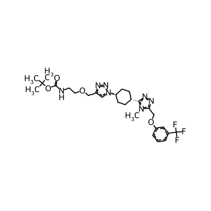 Cn1c(COc2cccc(C(F)(F)F)c2)nnc1[C@H]1CC[C@H](n2cc(COCCNC(=O)OC(C)(C)C)nn2)CC1